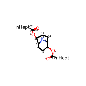 CCCCCCCC(=O)OC1CCC2C(OC(=O)CCCCCCC)CCC1N2C